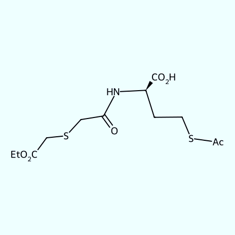 CCOC(=O)CSCC(=O)N[C@H](CCSC(C)=O)C(=O)O